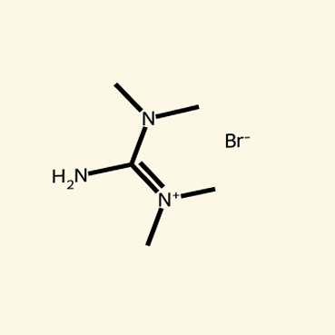 CN(C)C(N)=[N+](C)C.[Br-]